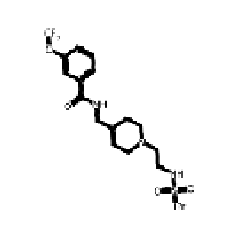 CC(C)S(=O)(=O)NCCN1CCC(CNC(=O)c2cccc(OC(F)(F)F)c2)CC1